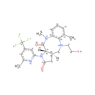 Cc1cc(C(F)(F)F)cc(N2C(=O)C[C@@H]3CN(CCI)c4c(C)cccc4N(C)C(=O)[C@H]32)n1